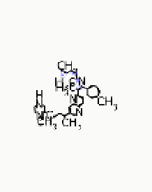 C=C(CC=C=C1CNCCN1C)c1cnc2ccc(/C(C)=C(/N=C(C)/C=C\C=C/C)C3=CC=CC(C)=CC3)nc2c1